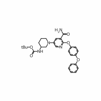 CC(C)(C)OC(=O)NC1CCCN(c2cnc(Oc3ccc(Oc4ccccc4)cc3)c(C(N)=O)c2)C1